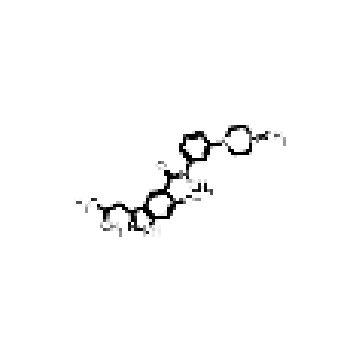 CC(C)Cc1n[nH]c2cc(O)c(C(=O)N(C)c3cccc(N4CCN(C)CC4)c3)cc12